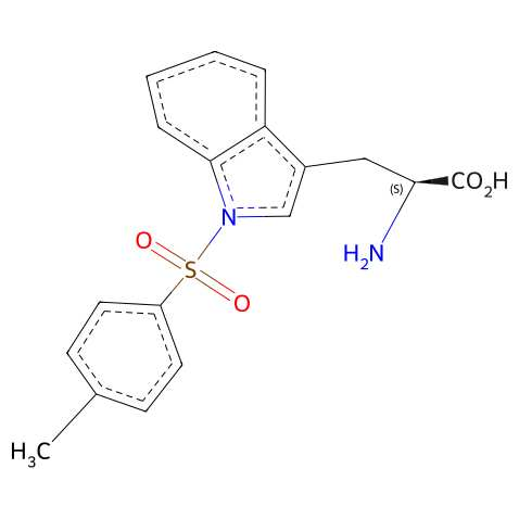 Cc1ccc(S(=O)(=O)n2cc(C[C@H](N)C(=O)O)c3ccccc32)cc1